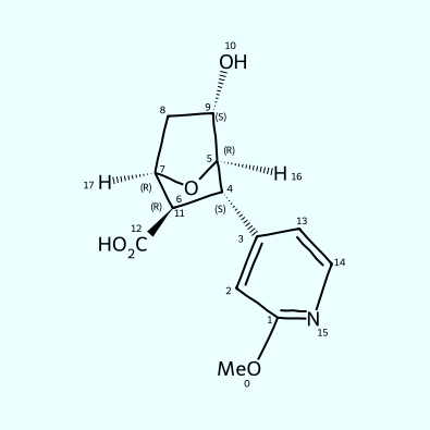 COc1cc([C@H]2[C@H]3O[C@H](C[C@@H]3O)[C@@H]2C(=O)O)ccn1